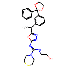 CC(c1cccc(C2(c3ccccc3)OCCO2)c1)c1nnc(/N=C(\NCCO)N2CCSCC2)o1